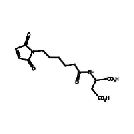 O=C(O)CC(NC(=O)CCCCCN1C(=O)C=CC1=O)C(=O)O